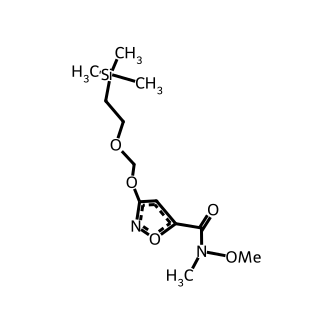 CON(C)C(=O)c1cc(OCOCC[Si](C)(C)C)no1